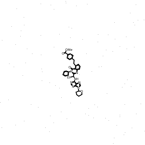 CCC(Nc1ncnc2c1ncn2C1CCCCO1)c1nc2cccc(CCc3ccc(C(=O)OC)cc3)c2c(=O)n1-c1ccccc1